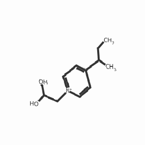 CCC(C)c1cc[n+](CC(O)O)cc1